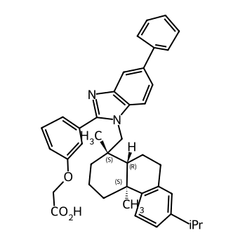 CC(C)c1ccc2c(c1)CC[C@H]1[C@@](C)(Cn3c(-c4cccc(OCC(=O)O)c4)nc4cc(-c5ccccc5)ccc43)CCC[C@]21C